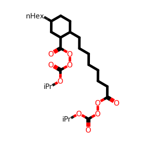 CCCCCCC1CCC(CCCCCCCC(=O)OOC(=O)OC(C)C)C(C(=O)OOC(=O)OC(C)C)C1